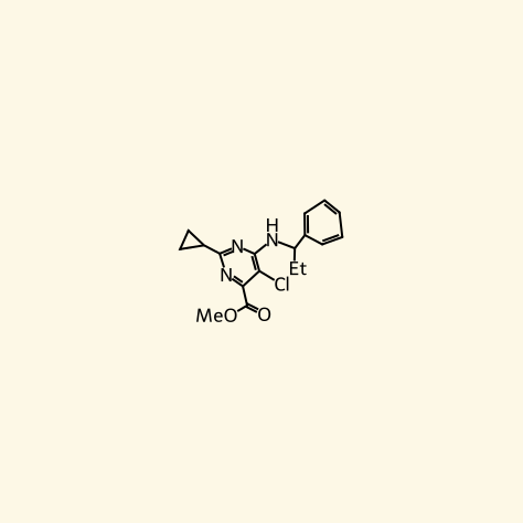 CCC(Nc1nc(C2CC2)nc(C(=O)OC)c1Cl)c1ccccc1